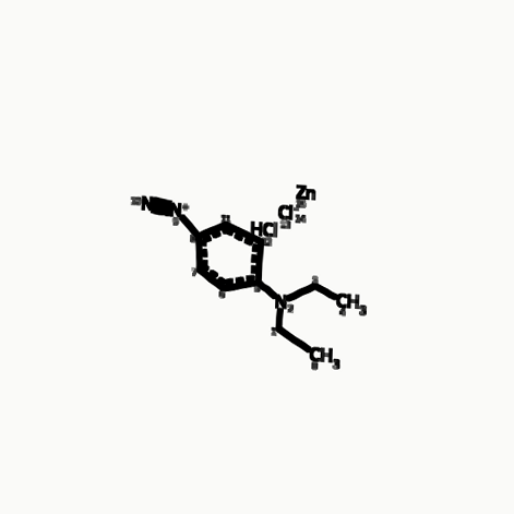 CCN(CC)c1ccc([N+]#N)cc1.Cl.[Cl-].[Zn]